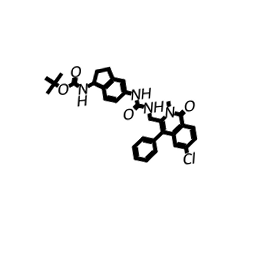 Cn1c(CNC(=O)Nc2ccc3c(c2)CCC3NC(=O)OC(C)(C)C)c(-c2ccccc2)c2cc(Cl)ccc2c1=O